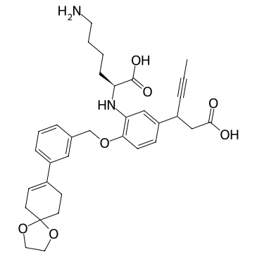 CC#CC(CC(=O)O)c1ccc(OCc2cccc(C3=CCC4(CC3)OCCO4)c2)c(N[C@@H](CCCCN)C(=O)O)c1